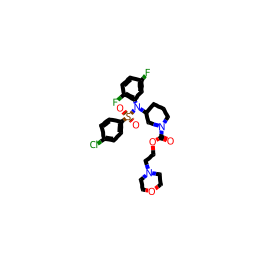 O=C(OCCN1CCOCC1)N1CCCC(N(c2cc(F)ccc2F)S(=O)(=O)c2ccc(Cl)cc2)C1